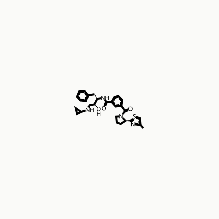 Cc1csc([C@H]2CCCN2C(=O)c2cccc(C(=O)N[C@@H](Cc3ccccc3)[C@H](O)CNC3CC3)c2)n1